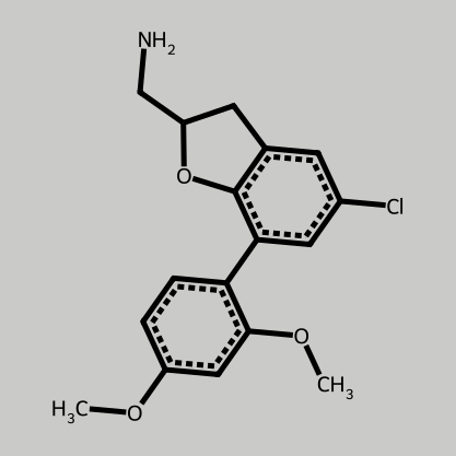 COc1ccc(-c2cc(Cl)cc3c2OC(CN)C3)c(OC)c1